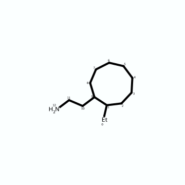 CCC1CCCCCCCC1CCN